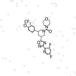 O=C(N1CCOCC1)N1CC(c2ccc(OC(F)(F)F)cc2)CC(c2nc(-c3ncc(F)cc3F)no2)C1